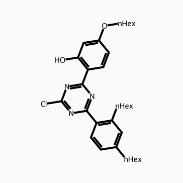 CCCCCCOc1ccc(-c2nc(Cl)nc(-c3ccc(CCCCCC)cc3CCCCCC)n2)c(O)c1